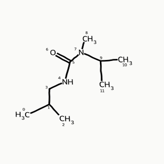 CC(C)CNC(=O)N(C)C(C)C